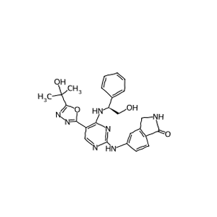 CC(C)(O)c1nnc(-c2cnc(Nc3ccc4c(c3)CNC4=O)nc2N[C@H](CO)c2ccccc2)o1